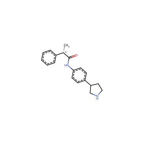 C[C@H](C(=O)Nc1ccc(C2CCNC2)cc1)c1ccccc1